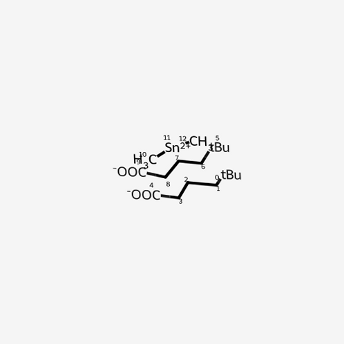 CC(C)(C)CCCC(=O)[O-].CC(C)(C)CCCC(=O)[O-].[CH3][Sn+2][CH3]